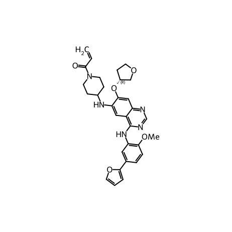 C=CC(=O)N1CCC(Nc2cc3c(Nc4cc(-c5ccco5)ccc4OC)ncnc3cc2O[C@@H]2CCOC2)CC1